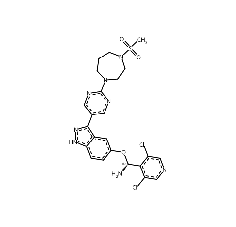 CS(=O)(=O)N1CCCN(c2ncc(-c3n[nH]c4ccc(O[C@H](N)c5c(Cl)cncc5Cl)cc34)cn2)CC1